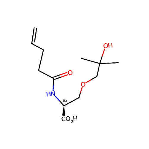 C=CCCC(=O)N[C@@H](COCC(C)(C)O)C(=O)O